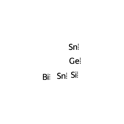 [Bi].[Ge].[Si].[Sn].[Sn]